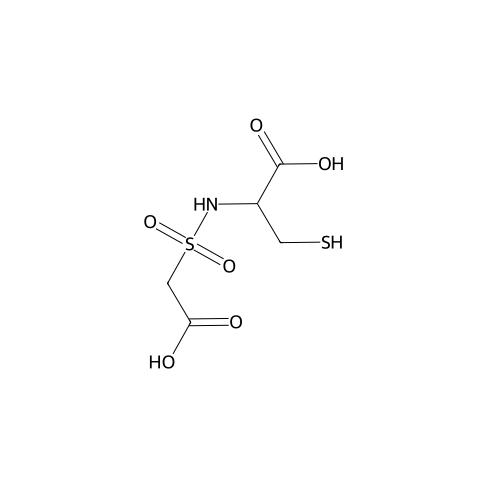 O=C(O)CS(=O)(=O)NC(CS)C(=O)O